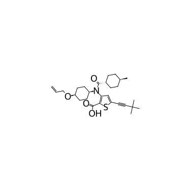 C=CCO[C@H]1CC[C@@H](N(c2cc(C#CC(C)(C)C)sc2C(=O)O)C(=O)[C@H]2CC[C@H](C)CC2)CC1